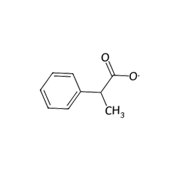 CC(C([O])=O)c1ccccc1